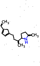 C=CC1=CC=C(CCC(=C)C2CCC(=C)N2)C1